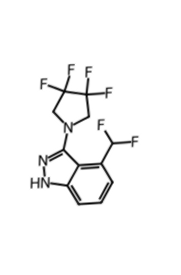 FC(F)c1cccc2[nH]nc(N3CC(F)(F)C(F)(F)C3)c12